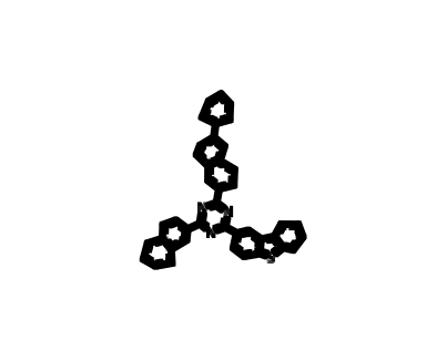 c1ccc(-c2ccc3cc(-c4nc(-c5ccc6ccccc6c5)nc(-c5ccc6sc7ccccc7c6c5)n4)ccc3c2)cc1